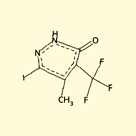 Cc1c(I)n[nH]c(=O)c1C(F)(F)F